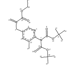 C=C(Cc1cnc(N(C(=O)OC(C)(C)C)C(=O)OC(C)(C)C)c(C)c1)C(=O)OCC